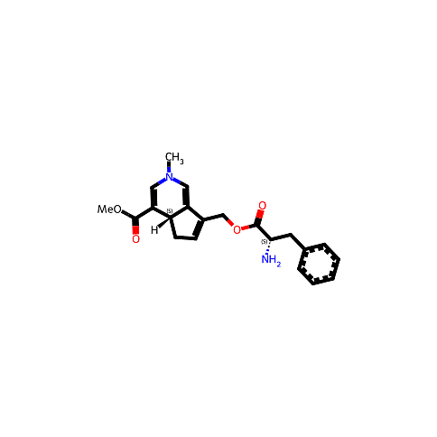 COC(=O)C1=CN(C)C=C2C(COC(=O)[C@@H](N)Cc3ccccc3)=CC[C@H]12